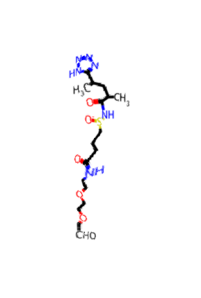 CC(CC(C)c1nnn[nH]1)C(=O)N[S+]([O-])CCCC(=O)NCCOCCOCC=O